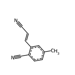 Cc1ccc(C#N)c(C=CC#N)c1